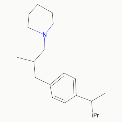 CC(Cc1ccc(C(C)C(C)C)cc1)CN1CCCCC1